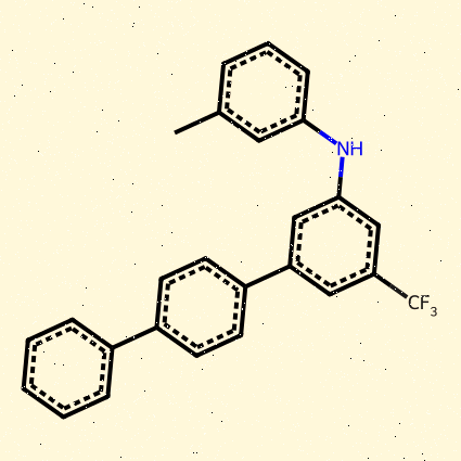 Cc1cccc(Nc2cc(-c3ccc(-c4ccccc4)cc3)cc(C(F)(F)F)c2)c1